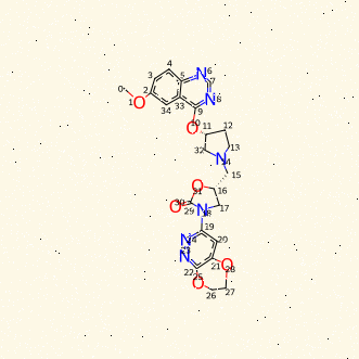 COc1ccc2ncnc(O[C@@H]3CCN(C[C@@H]4CN(c5cc6c(nn5)OCCO6)C(=O)O4)C3)c2c1